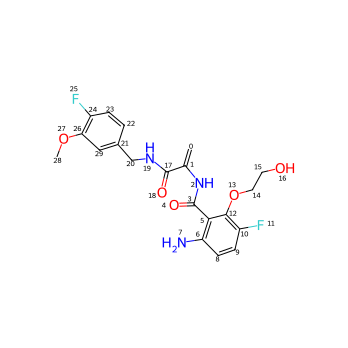 C=C(NC(=O)c1c(N)ccc(F)c1OCCO)C(=O)NCc1ccc(F)c(OC)c1